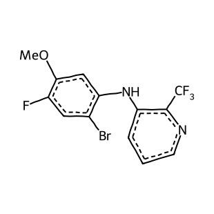 COc1cc(Nc2cccnc2C(F)(F)F)c(Br)cc1F